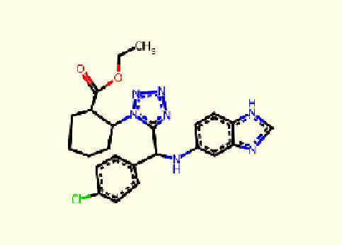 CCOC(=O)C1CCCCC1n1nnnc1C(Nc1ccc2[nH]cnc2c1)c1ccc(Cl)cc1